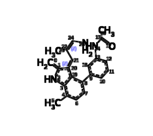 C=c1[nH]c2c(C)ccc(-c3cccc(NC(C)=O)c3)c2/c1=C/C(C)=C\N